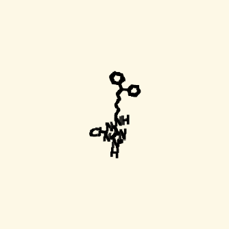 Clc1nc(NCCCCC=C(c2ccccc2)c2ccccc2)c2nc[nH]c2n1